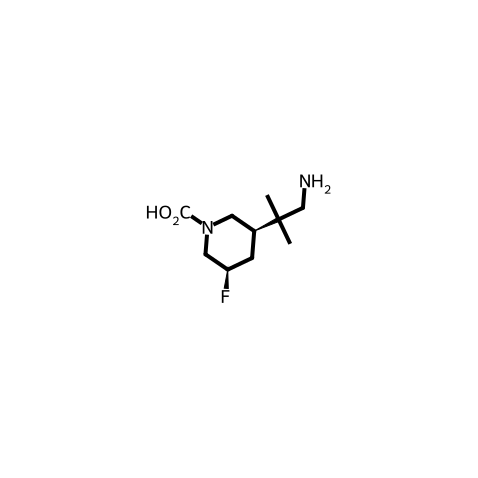 CC(C)(CN)[C@H]1C[C@@H](F)CN(C(=O)O)C1